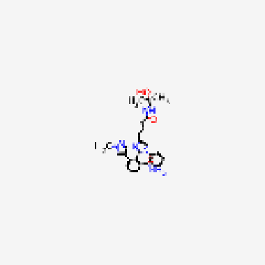 Cn1cc(-c2cccc(C(N)=O)c2-c2nc(CCCC(=O)NCC(C)(C)O)cn2-c2ccccc2)cn1